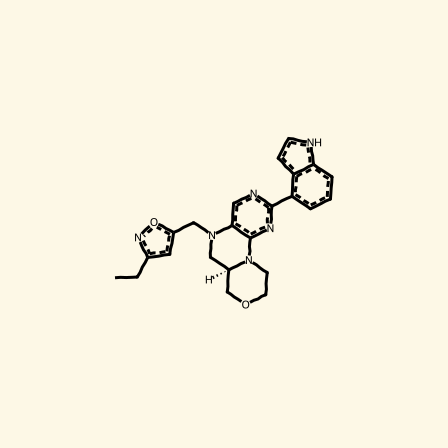 CCc1cc(CN2C[C@@H]3COCCN3c3nc(-c4cccc5[nH]ccc45)ncc32)on1